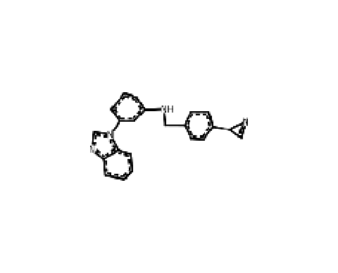 C1=NC1c1ccc(CNc2cccc(-n3cnc4ccccc43)c2)cc1